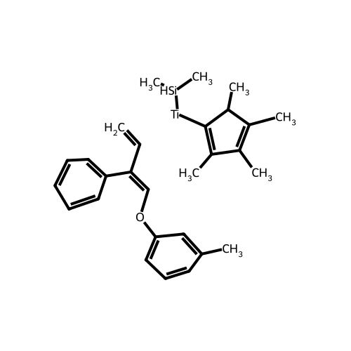 C=CC(=COc1cccc(C)c1)c1ccccc1.CC1=C(C)C(C)[C]([Ti][SiH](C)C)=C1C